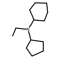 [CH2]CN(C1CCCCC1)C1CCCC1